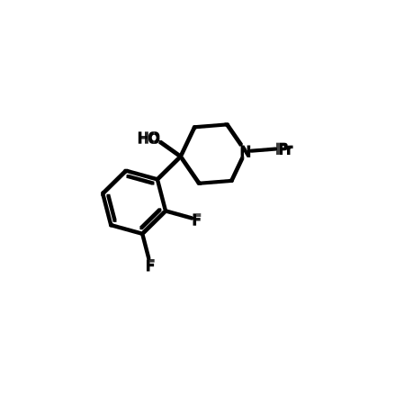 CC(C)N1CCC(O)(c2cccc(F)c2F)CC1